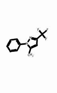 [CH2]c1cc(C(F)(F)F)nn1-c1ccccc1